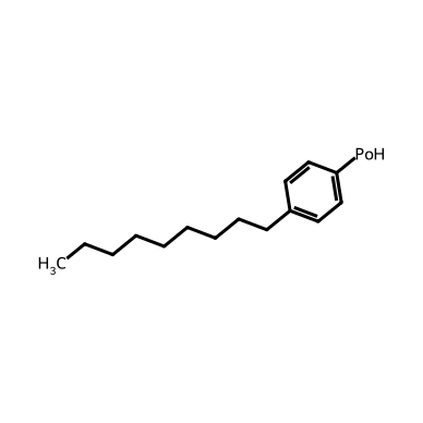 CCCCCCCCCc1cc[c]([PoH])cc1